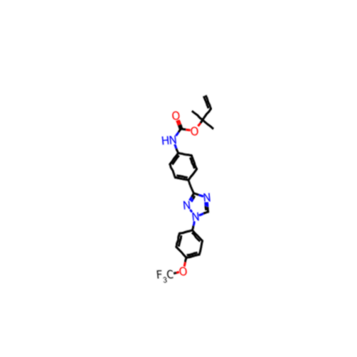 C=CC(C)(C)OC(=O)Nc1ccc(-c2ncn(-c3ccc(OC(F)(F)F)cc3)n2)cc1